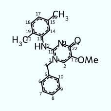 COc1cn(Cc2ccccc2)c(Nc2cc(C)ccc2C)nc1=O